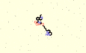 CCc1nccc2c(C(C(=O)O)N3CC(OCCCCCc4ccc5c(n4)NCCC5)C3)cccc12